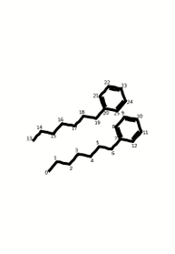 CCCCCCCc1ccccc1.CCCCCCCc1ccccc1